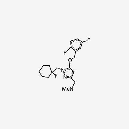 CNCc1cc(OCc2cc(F)ccc2F)n(CC2(F)CCCCC2)n1